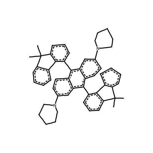 CC1(C)c2ccccc2-c2c(-c3c4ccc(N5CCCCC5)cc4c(-c4cccc5c4-c4ccccc4C5(C)C)c4ccc(N5CCCCC5)cc34)cccc21